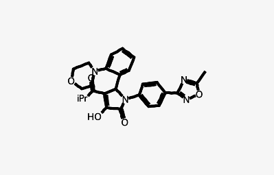 Cc1nc(-c2ccc(N3C(=O)C(O)=C(C(=O)C(C)C)C3c3ccccc3N3CCOCC3)cc2)no1